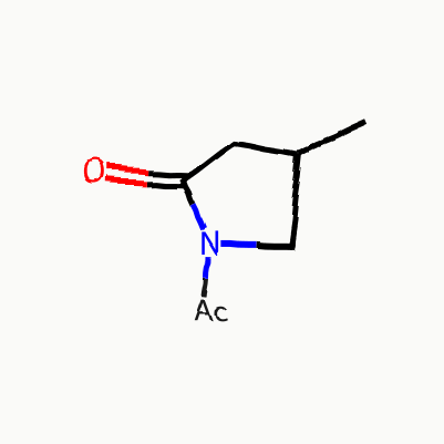 CC(=O)N1CC(C)CC1=O